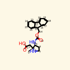 C[C@]1(CC(=O)O)NCC[C@@H]1NC(=O)OCC1c2ccccc2-c2ccccc21